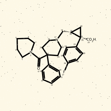 O=C(N1CCCCC1)C1(c2ccccc2)CCN(C[C@@H]2C[C@@]2(C(=O)O)c2ccc(F)cc2)CC1